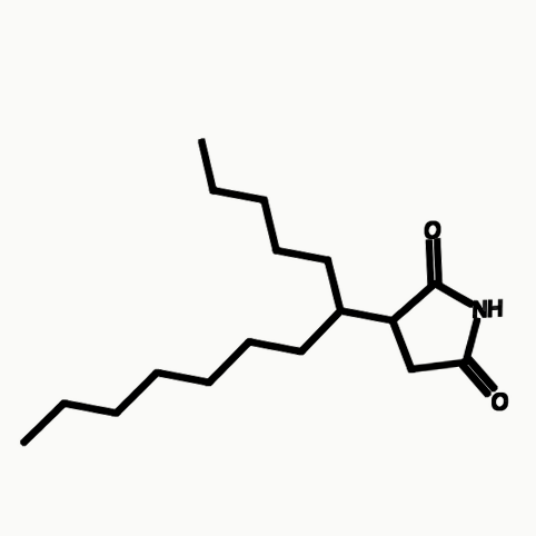 CCCCCCCC(CCCCC)C1CC(=O)NC1=O